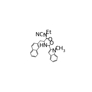 CCN(C#N)C(=O)C(Cc1ccc2ccccc2c1)NC(=O)c1cc2ccccc2n1C